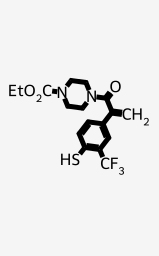 C=C(C(=O)N1CCN(C(=O)OCC)CC1)c1ccc(S)c(C(F)(F)F)c1